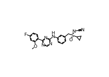 COc1cc(F)ccc1-c1ncnc(Nc2cccc(CS(=O)(=NC#N)C3CC3)c2)n1